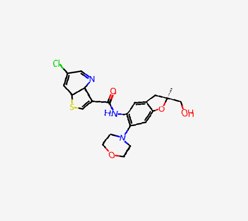 C[C@@]1(CO)Cc2cc(NC(=O)C3=CSC4C=C(Cl)C=NC34)c(N3CCOCC3)cc2O1